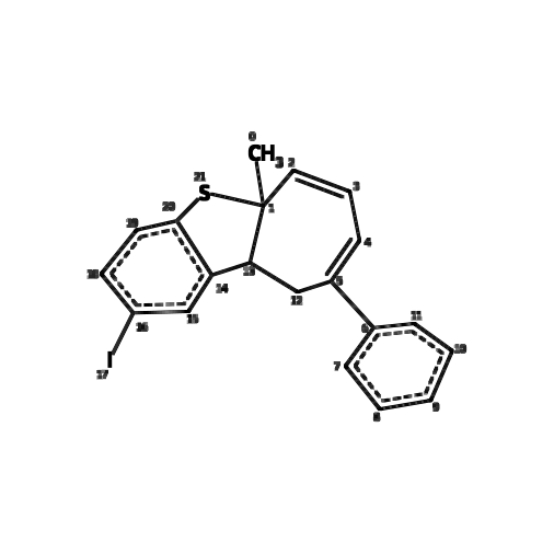 CC12C=CC=C(c3ccccc3)CC1c1cc(I)ccc1S2